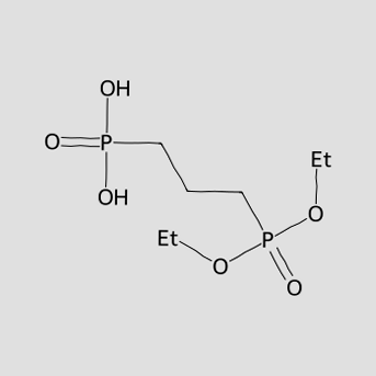 CCOP(=O)(CCCP(=O)(O)O)OCC